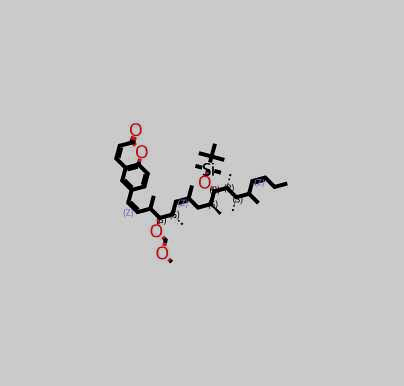 CC/C=C\C(C)[C@H](C)[C@@H](C)[C@H](O[Si](C)(C)C(C)(C)C)[C@@H](C)C/C(C)=C\[C@H](C)[C@@H](OCOC)C(C)/C=C\c1ccc2oc(=O)ccc2c1